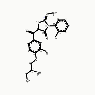 CCC/N=C1/SC(C(=O)c2ccc(OC[C@@H](O)CO)c(Cl)c2)C(=O)N1c1ccccc1C